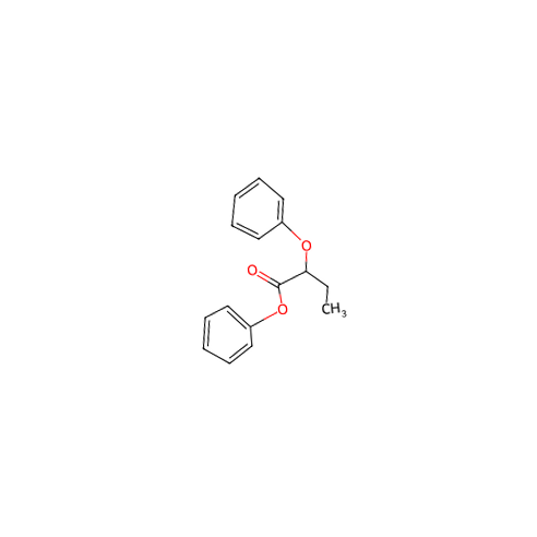 CCC(Oc1ccccc1)C(=O)Oc1ccccc1